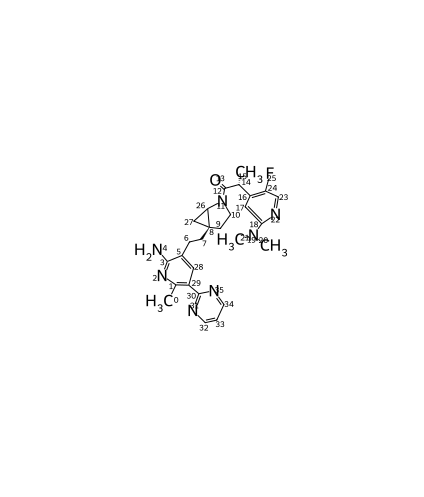 Cc1nc(N)c(CC[C@]23CCN(C(=O)[C@H](C)c4cc(N(C)C)ncc4F)C2C3)cc1-c1ncccn1